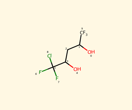 OC(CC(O)C(F)(F)Cl)C(F)(F)F